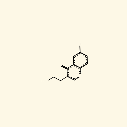 O=C(O)CCc1coc2ccc(Br)cc2c1=O